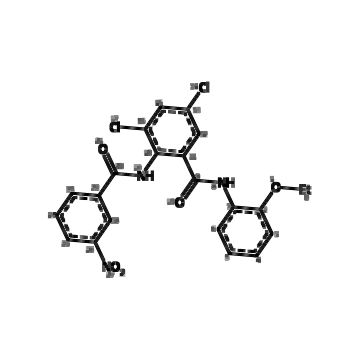 CCOc1ccccc1NC(=O)c1cc(Cl)cc(Cl)c1NC(=O)c1cccc([N+](=O)[O-])c1